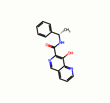 C[C@H](NC(=O)c1ncc2cccnc2c1O)c1ccccc1